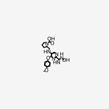 COc1ccc(Oc2nc(C(=N)NO)ncc2NCC2CCCN2C(=O)O)cc1